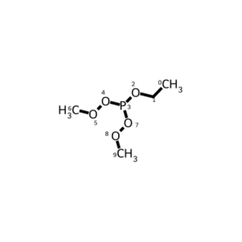 CCOP(OOC)OOC